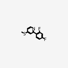 CSc1ccnc(-c2ccc(F)cc2F)c1